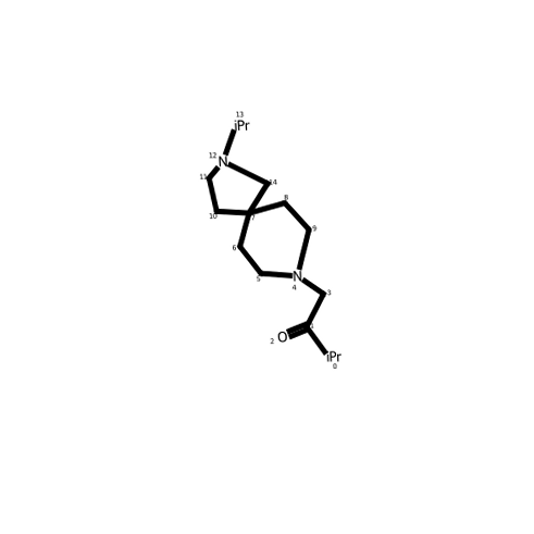 CC(C)C(=O)CN1CCC2(CC1)CCN(C(C)C)C2